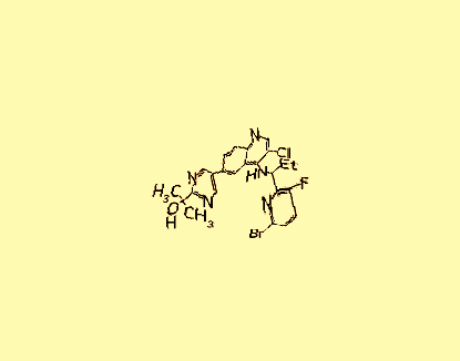 CCC(Nc1c(Cl)cnc2ccc(-c3cnc(C(C)(C)O)nc3)cc12)c1nc(Br)ccc1F